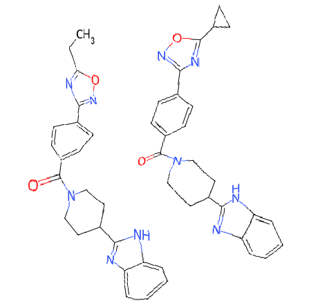 CCc1nc(-c2ccc(C(=O)N3CCC(c4nc5ccccc5[nH]4)CC3)cc2)no1.O=C(c1ccc(-c2noc(C3CC3)n2)cc1)N1CCC(c2nc3ccccc3[nH]2)CC1